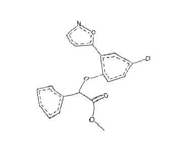 COC(=O)C(Oc1ccc(Cl)cc1-c1ccno1)c1ccccc1